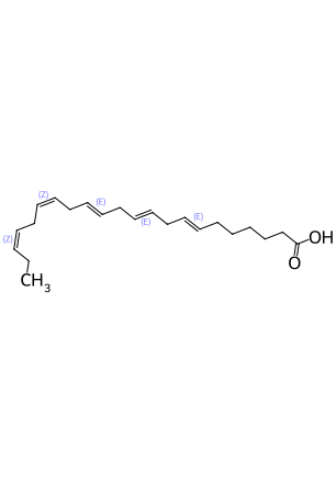 CC/C=C\C/C=C\C/C=C/C/C=C/C/C=C/CCCCCC(=O)O